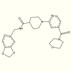 O=C(NCc1ccc2c(c1)OCO2)C1CCN(c2cc(C(=O)N3CCOCC3)ccn2)CC1